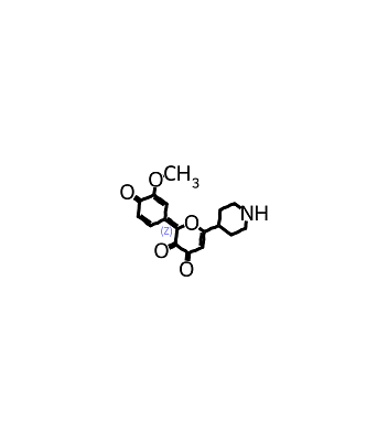 COC1=C/C(=C2\OC(C3CCNCC3)=CC(=O)C2=O)C=CC1=O